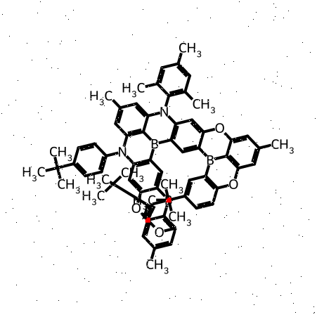 Cc1cc(C)c(N2c3cc4c(cc3B3c5cc6c(cc5N(c5ccc(C(C)(C)C)cc5)c5cc(C)cc2c53)Oc2cc(C)cc3c2B6c2cc(C(C)(C)C)ccc2O3)B2c3cc(C(C)(C)C)ccc3Oc3cc(C)cc(c32)O4)c(C)c1